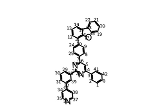 c1ccc(-c2cc(-c3ccc(-c4cccc5c4oc4ccccc45)cc3)nc(-c3cccc(-c4ccncc4)c3)n2)cc1